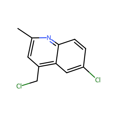 Cc1cc(CCl)c2cc(Cl)ccc2n1